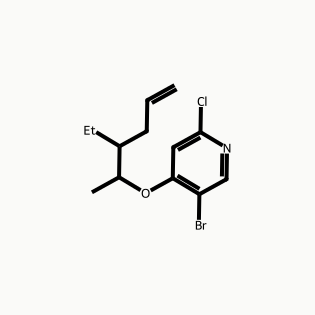 C=CCC(CC)C(C)Oc1cc(Cl)ncc1Br